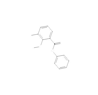 O=C(Nc1ccccc1)c1cccc(Cl)c1OBr